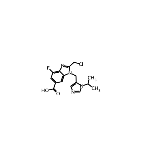 CC(C)n1cncc1Cn1c(CCl)nc2c(F)cc(C(=O)O)cc21